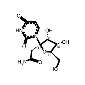 NC(=O)C[C@@]1(n2ccc(=O)[nH]c2=O)O[C@H](CO)[C@@H](O)[C@H]1O